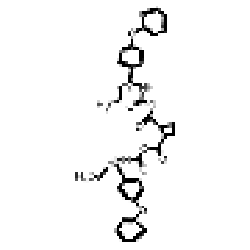 CCC[C@H](NC(=O)OC(=O)C1CCC1C(=O)OC(=O)N[C@@H](CCC)c1ccc(Oc2ccccc2)cc1)c1ccc(Oc2ccccc2)cc1